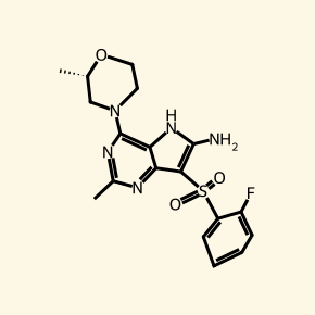 Cc1nc(N2CCO[C@@H](C)C2)c2[nH]c(N)c(S(=O)(=O)c3ccccc3F)c2n1